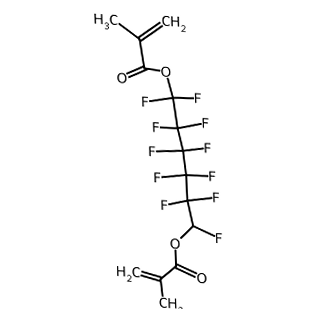 C=C(C)C(=O)OC(F)C(F)(F)C(F)(F)C(F)(F)C(F)(F)C(F)(F)OC(=O)C(=C)C